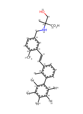 [2H]c1c([2H])c([2H])c(-c2cccc(C=Cc3cc(CNC(C)(CO)C(=O)O)ccc3C(F)(F)F)c2C)c([2H])c1[2H]